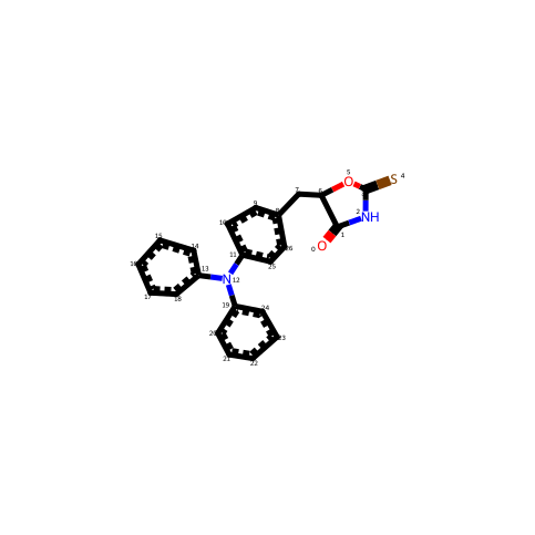 O=C1NC(=S)OC1Cc1ccc(N(c2ccccc2)c2ccccc2)cc1